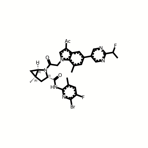 CC(=O)c1cn(CC(=O)N2[C@H](C(=O)Nc3nc(Br)c(F)cc3C)C[C@@]3(C)C[C@@H]23)c2c(C)cc(-c3cnc(C(C)F)nc3)cc12